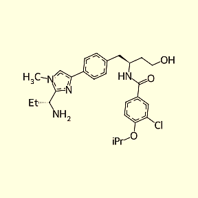 CC[C@@H](N)c1nc(-c2ccc(C[C@@H](CCO)NC(=O)c3ccc(OC(C)C)c(Cl)c3)cc2)cn1C